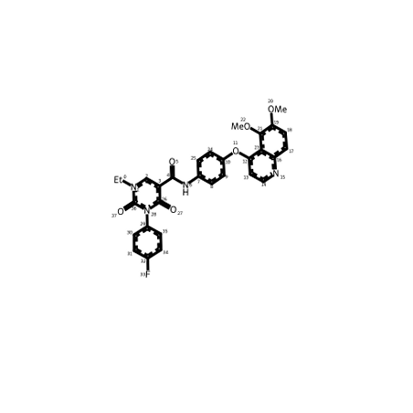 CCn1cc(C(=O)Nc2ccc(Oc3ccnc4ccc(OC)c(OC)c34)cc2)c(=O)n(-c2ccc(F)cc2)c1=O